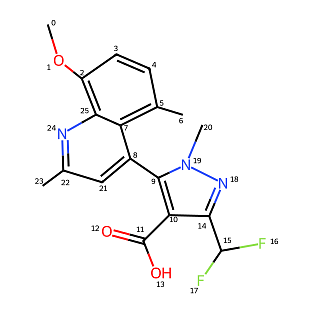 COc1ccc(C)c2c(-c3c(C(=O)O)c(C(F)F)nn3C)cc(C)nc12